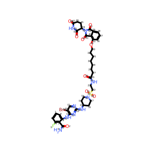 NC(=O)c1c(F)cccc1Nc1nc(NC2CCN(S(=O)(=O)CCNC(=O)CCCCCCCOc3cccc4c3C(=O)N(C3CCC(=O)NC3=O)C4=O)CC2)ncc1Br